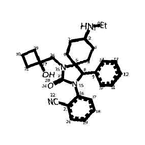 CCNC1CCC2(CC1)C(c1ccccc1)N(c1ccccc1C#N)C(=O)N2CC1(O)CCC1